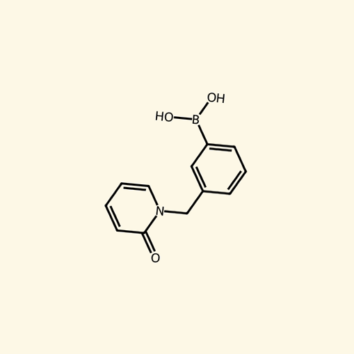 O=c1ccccn1Cc1cccc(B(O)O)c1